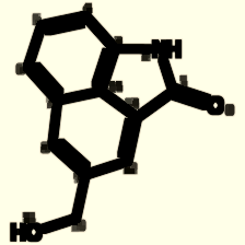 O=C1Nc2cccc3cc(CO)cc1c23